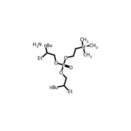 CCCCC(CC)COP(=O)(OCC[N+](C)(C)C)OCC(CC)CCCC.N